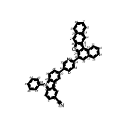 N#Cc1ccc2c(c1)c1cc(-c3ccc(-c4cc5ccccc5c5c4oc4cc6ccccc6cc45)nc3)ccc1n2-c1ccccc1